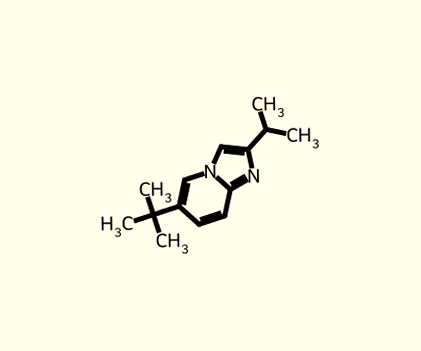 CC(C)c1cn2cc(C(C)(C)C)ccc2n1